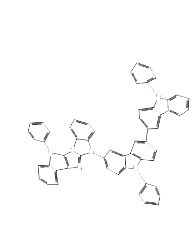 c1ccc(-n2c3ccccc3c3cc(-c4ccc5c(c4)c4cc(-n6c7ccccc7n7c6nc6c8ccccc8n(-c8ccccc8)c67)ccc4n5-c4ccccc4)ccc32)cc1